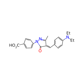 CCN(CC)c1ccc(C=C2C(=O)N(c3ccc(C(=O)O)cc3)N=C2C)cc1